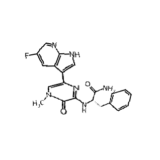 Cn1cc(-c2c[nH]c3ncc(F)cc23)nc(N[C@@H](Cc2ccccc2)C(N)=O)c1=O